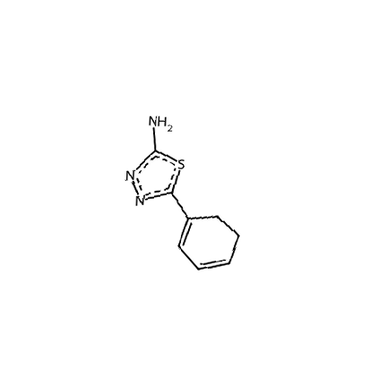 Nc1nnc(C2=CC=CCC2)s1